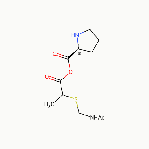 CC(=O)NCSC(C)C(=O)OC(=O)[C@@H]1CCCN1